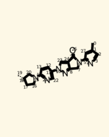 Cc1ccnc(N2Cc3nn(-c4ccc(N5CC[C@H](C)C5)nc4)cc3C2=O)c1